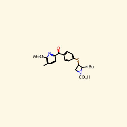 COc1nc(C(=O)c2ccc(SC3CN(C(=O)O)C3C(C)(C)C)cc2)ccc1C